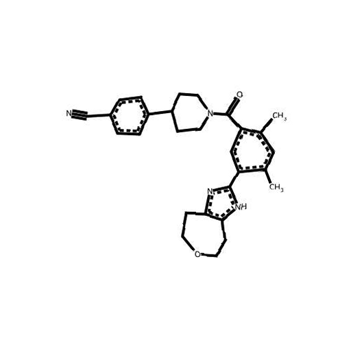 Cc1cc(C)c(-c2nc3c([nH]2)CCOCC3)cc1C(=O)N1CCC(c2ccc(C#N)cc2)CC1